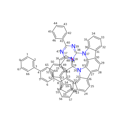 c1ccc(-c2ccc(-c3ccccc3-c3ccccc3-n3c4ccccc4c4ccc5c6ccccc6n(-c6nc(-c7ccccc7)nc(-c7cccc(-c8ccccc8)c7)n6)c5c43)cc2)cc1